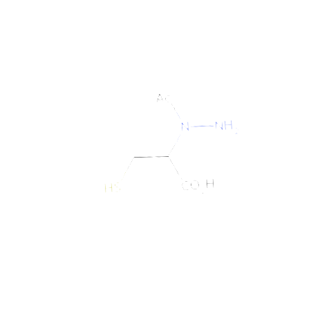 CC(=O)N(N)C(CS)C(=O)O